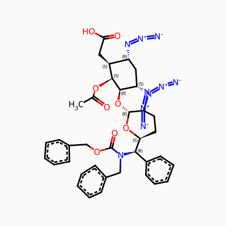 CC(=O)O[C@H]1[C@@H](CC(=O)O)[C@H](N=[N+]=[N-])C[C@H](N=[N+]=[N-])[C@H]1O[C@H]1O[C@H]([C@@H](c2ccccc2)N(Cc2ccccc2)C(=O)OCc2ccccc2)CCC1N=[N+]=[N-]